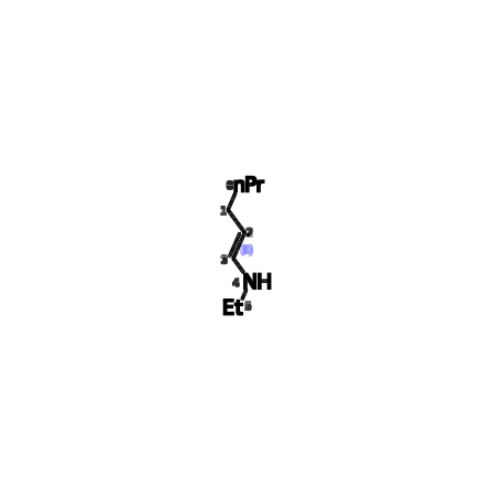 CCCC/C=C/NCC